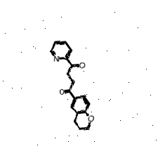 O=C(CCC(=O)c1ccccn1)c1ccc2c(c1)CCCO2